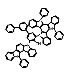 N#Cc1c(-n2c3ccccc3c3c2ccc2c4ccccc4n(-c4ccccc4)c23)cc(-c2cccc(-c3ccccc3)c2)cc1-n1c2ccccc2c2c3c(c4ccccc4n3-c3ccccc3)c3c(c4ccccc4n3-c3ccccc3)c21